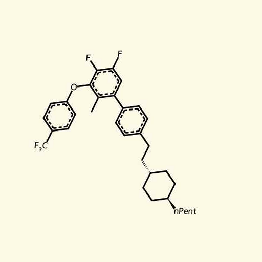 CCCCC[C@H]1CC[C@H](CCc2ccc(-c3cc(F)c(F)c(Oc4ccc(C(F)(F)F)cc4)c3C)cc2)CC1